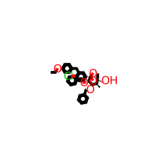 CCOc1ccc(Cc2cc([C@]34OC[C@](CO)(O3)[C@@H](C)[C@H](OCc3ccccc3)[C@H]4OCc3ccccc3)ccc2Cl)cc1